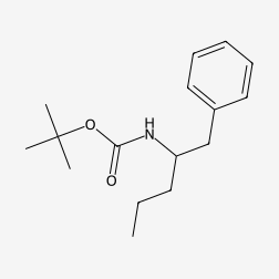 CCCC(Cc1ccccc1)NC(=O)OC(C)(C)C